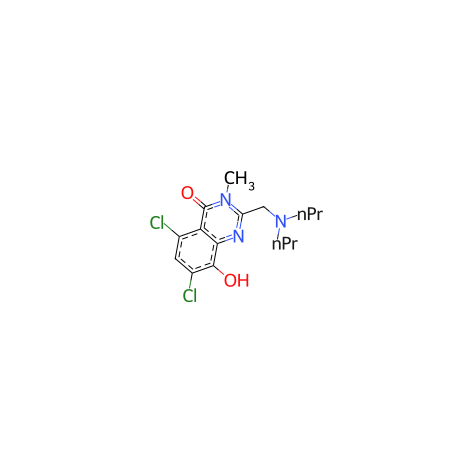 CCCN(CCC)Cc1nc2c(O)c(Cl)cc(Cl)c2c(=O)n1C